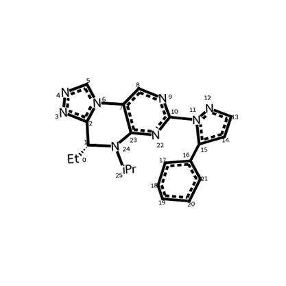 CC[C@@H]1c2nncn2-c2cnc(-n3nccc3-c3ccccc3)nc2N1C(C)C